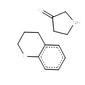 O=C1CCNC1.c1ccc2c(c1)CCCO2